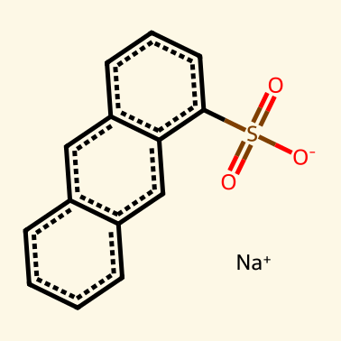 O=S(=O)([O-])c1cccc2cc3ccccc3cc12.[Na+]